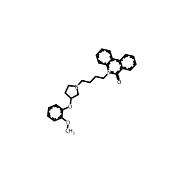 COc1ccccc1OC1CCN(CCCCn2c(=O)c3ccccc3c3ccccc32)C1